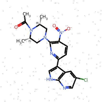 CC(=O)N1[C@H](C)CN(c2nc(-c3c[nH]c4ncc(Cl)cc34)ccc2[N+](=O)[O-])C[C@@H]1C